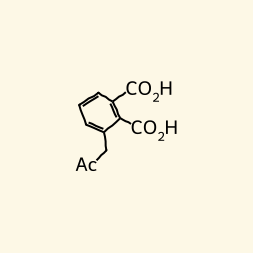 CC(=O)Cc1cccc(C(=O)O)c1C(=O)O